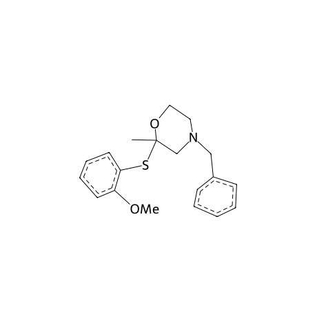 COc1ccccc1SC1(C)CN(Cc2ccccc2)CCO1